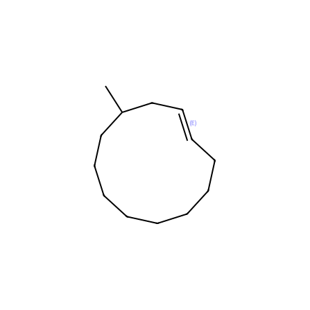 CC1C/C=C/CCCCCCCC1